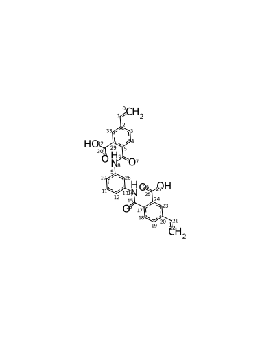 C=Cc1ccc(C(=O)Nc2cccc(NC(=O)c3ccc(C=C)cc3C(=O)O)c2)c(C(=O)O)c1